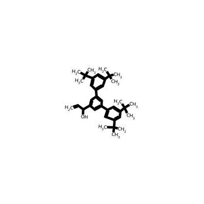 C=CC(O)c1cc(-c2cc(C(C)(C)C)cc(C(C)(C)C)c2)cc(-c2cc(C(C)(C)C)cc(C(C)(C)C)c2)c1